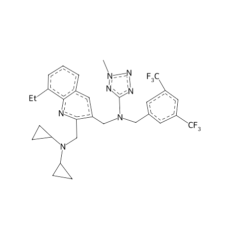 CCc1cccc2cc(CN(Cc3cc(C(F)(F)F)cc(C(F)(F)F)c3)c3nnn(C)n3)c(CN(C3CC3)C3CC3)nc12